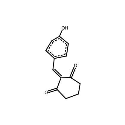 O=C1CCCC(=O)C1=Cc1ccc(O)cc1